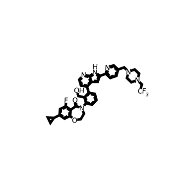 O=C1c2c(F)cc(C3CC3)cc2OCCN1c1cccc(-c2ccnc3[nH]c(-c4ccc(CN5CCN(CC(F)(F)F)CC5)cn4)cc23)c1CO